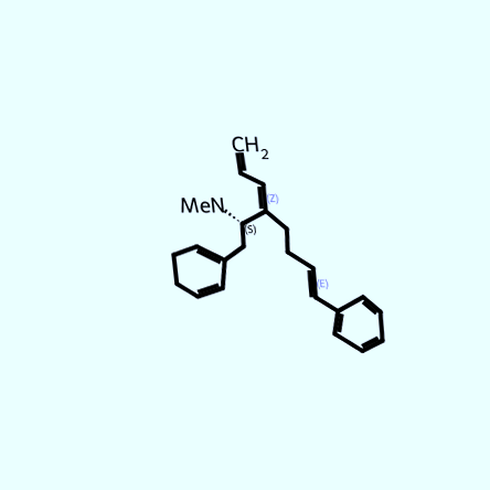 C=C/C=C(/CC/C=C/c1ccccc1)[C@H](CC1=CCCC=C1)NC